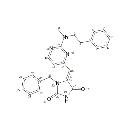 CN(CCc1ccccc1)c1nccc(/C=C2/C(=O)NC(=O)N2Cc2ccccc2)n1